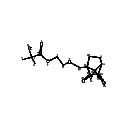 CCC(C)(C)C(=O)OCCOCC12CCC(C(=O)C1=O)C2(C)C